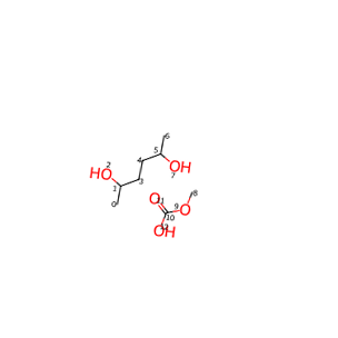 CC(O)CCC(C)O.COC(=O)O